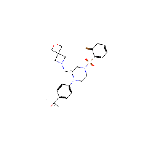 C[C@@](O)(c1ccc(N2CCN(S(=O)(=O)C3=CC=CCC3=S)C[C@@H]2CN2CC3(COC3)C2)cc1)C(F)(F)F